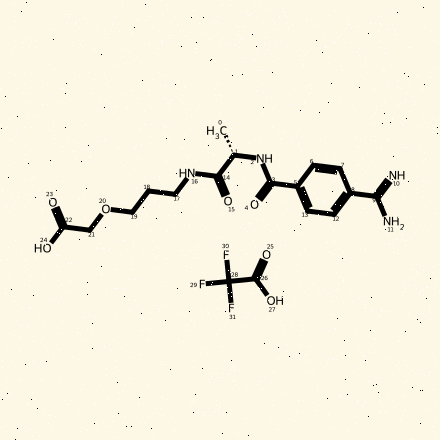 C[C@H](NC(=O)c1ccc(C(=N)N)cc1)C(=O)NCCCOCC(=O)O.O=C(O)C(F)(F)F